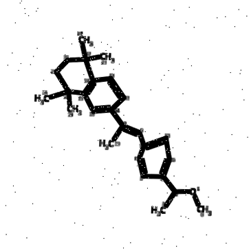 COC(C)c1ccc(/C=C(\C)c2ccc3c(c2)C(C)(C)CCC3(C)C)cc1